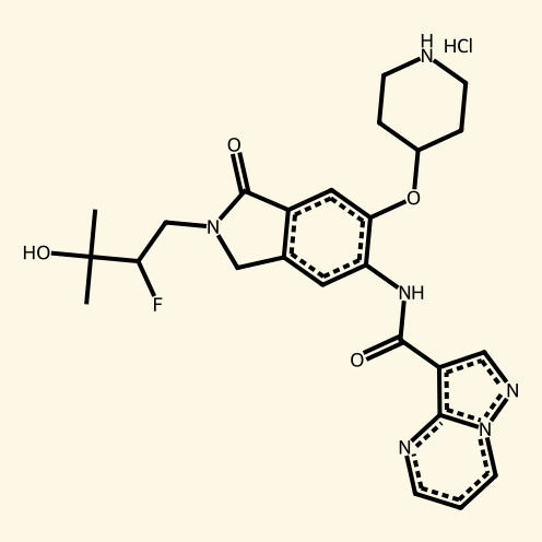 CC(C)(O)C(F)CN1Cc2cc(NC(=O)c3cnn4cccnc34)c(OC3CCNCC3)cc2C1=O.Cl